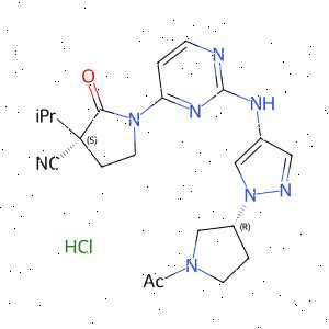 CC(=O)N1CC[C@@H](n2cc(Nc3nccc(N4CC[C@@](C#N)(C(C)C)C4=O)n3)cn2)C1.Cl